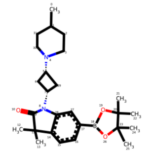 CC1CCN([C@H]2C[C@@H](N3C(=O)C(C)(C)c4ccc(B5OC(C)(C)C(C)(C)O5)cc43)C2)CC1